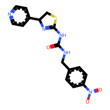 O=C(NCc1ccc([N+](=O)[O-])cc1)NC1=NC(c2ccncc2)CS1